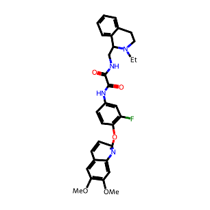 CCN1CCc2ccccc2C1CNC(=O)C(=O)Nc1ccc(Oc2ccc3cc(OC)c(OC)cc3n2)c(F)c1